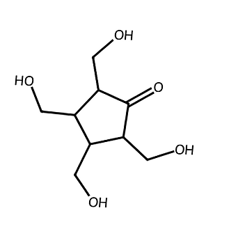 O=C1C(CO)C(CO)C(CO)C1CO